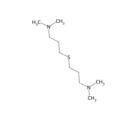 CN(C)CCCSCCCN(C)C